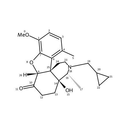 COc1ccc(C)c2c1O[C@H]1C(=O)CC[C@@]3(O)[C@@H](C)N(CC4CC4)CC[C@]213